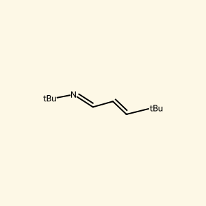 CC(C)(C)/C=C/C=N/C(C)(C)C